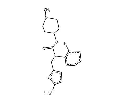 CN1CCC(OC(=O)N(Cc2ccc(C(=O)O)s2)c2ccccc2F)CC1